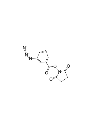 [N-]=[N+]=Nc1cccc(C(=O)ON2C(=O)CCC2=O)c1